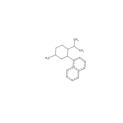 CC1CCC(C(C)C)[C](c2cccc3ccccc23)C1